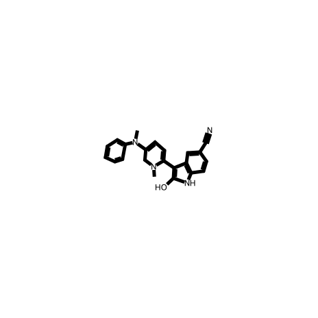 CN1CC(N(C)c2ccccc2)=CC=C1c1c(O)[nH]c2ccc(C#N)cc12